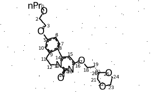 CCCOCCOc1ccc2c(c1)CCn1c-2cc(OCC[C@H]2COCCO2)nc1=O